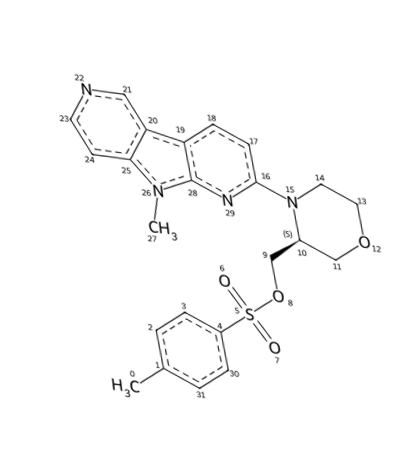 Cc1ccc(S(=O)(=O)OC[C@@H]2COCCN2c2ccc3c4cnccc4n(C)c3n2)cc1